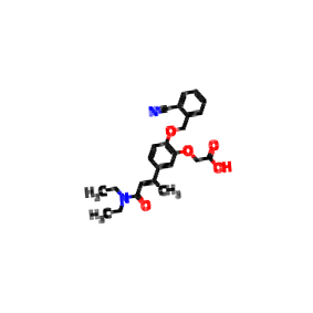 CCN(CC)C(=O)/C=C(\C)c1ccc(OCc2ccccc2C#N)c(OCC(=O)O)c1